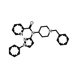 O=C(c1ccccn1)N(c1ccn(-c2ccccc2)n1)C1CCN(Cc2ccccc2)CC1